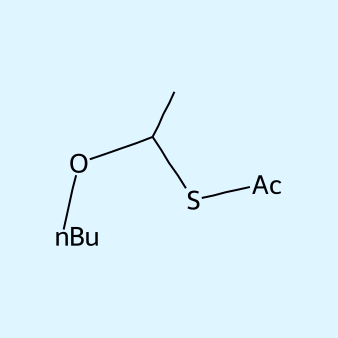 CCCCOC(C)SC(C)=O